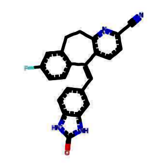 N#Cc1ccc2c(n1)CCc1cc(F)ccc1/C2=C\c1ccc2[nH]c(=O)[nH]c2c1